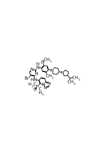 COc1cc(N2CCC(N3CCC(C(C)C)C3)CC2)c(C)cc1Nc1ncc(Br)c(Nc2ccc3ncnn3c2P(C)(C)=O)n1